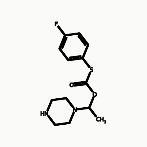 CC(OC(=O)Sc1ccc(F)cc1)N1CCNCC1